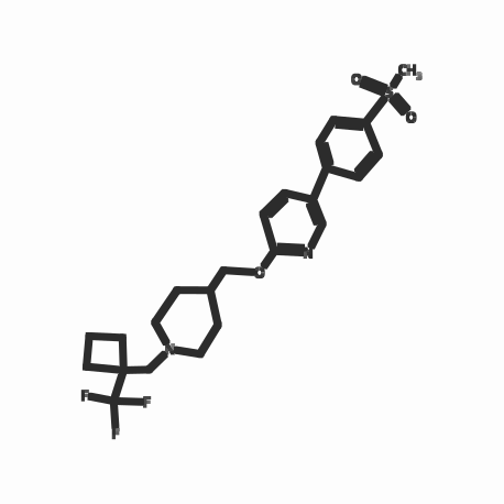 CS(=O)(=O)c1ccc(-c2ccc(OCC3CCN(CC4(C(F)(F)F)CCC4)CC3)nc2)cc1